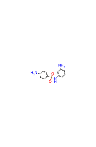 Nc1ccc(S(=O)(=O)Nc2cccc(N)c2)cc1